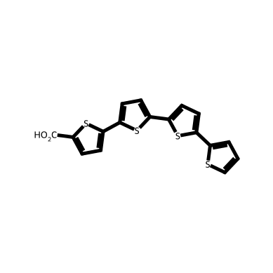 O=C(O)c1ccc(-c2ccc(-c3ccc(-c4cccs4)s3)s2)s1